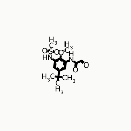 COc1c(NC(=O)C=O)cc(C(C)(C)C)cc1NS(C)(=O)=O